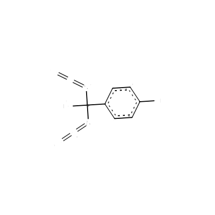 Cc1ccc(C(C)(N=C=O)N=C=O)cc1